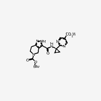 CC(C)(C)OC(=O)N1CCc2n[nH]c(C(=O)NC3(c4ncc(C(=O)O)cn4)CC3)c2C1